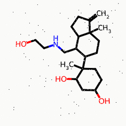 C=C1CCC2C(CNCCO)C(C3(C)CCC(O)CC3O)CCC12C